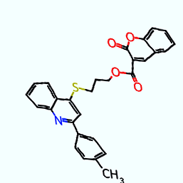 Cc1ccc(-c2cc(SCCCOC(=O)c3cc4ccccc4oc3=O)c3ccccc3n2)cc1